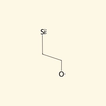 [O]CC[Si]